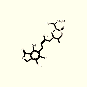 CCOC(=O)[C@H](C)N(OC(CC(C)=CCc1c(O)c2c(c(C)c1CC)COC2=O)C(F)F)[PH2]=O